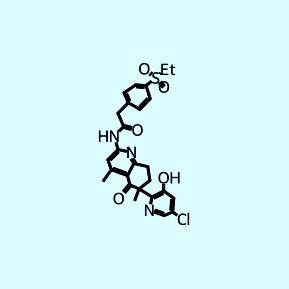 CCS(=O)(=O)c1ccc(CC(=O)Nc2cc(C)c3c(n2)CCC(C)(c2ncc(Cl)cc2O)C3=O)cc1